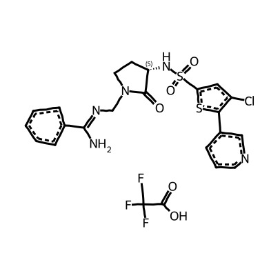 NC(=NCN1CC[C@H](NS(=O)(=O)c2cc(Cl)c(-c3cccnc3)s2)C1=O)c1ccccc1.O=C(O)C(F)(F)F